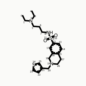 CCN(CC)CCCNS(=O)(=O)c1ccc2c(c1)CN(Cc1ccsc1)CC2